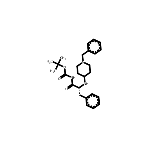 CC(C)(C)OC(=O)NC(=O)[C@@H](Cc1ccccc1)NC1CCN(Cc2ccccc2)CC1